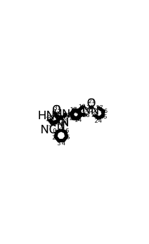 N#CC1CCCCCC1n1nc(Nc2ccc3c(c2)CN(C(=O)N2CCCCC2)C3)c2c(=O)[nH]ccc21